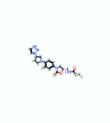 CC(=O)NC[C@H]1CN(c2ccc(N3CC[C@@H](n4ccnn4)C3)c(F)c2)C(=O)O1